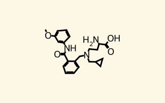 COc1cccc(NC(=O)c2ccccc2CN(CCC(N)C(=O)O)CC2CC2)c1